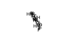 Cc1c(Nc2nc(-c3ccc(C(=O)N[C@H]4C[C@@H]4F)cc3)nn2C)ccc2[nH]ncc12